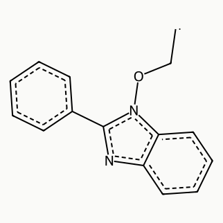 [CH2]COn1c(-c2ccccc2)nc2ccccc21